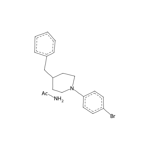 Brc1ccc(N2CCC(Cc3ccccc3)CC2)cc1.CC(N)=O